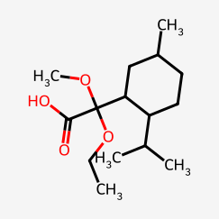 CCOC(OC)(C(=O)O)C1CC(C)CCC1C(C)C